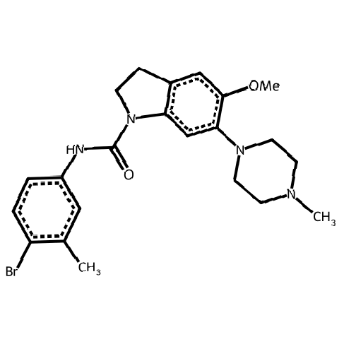 COc1cc2c(cc1N1CCN(C)CC1)N(C(=O)Nc1ccc(Br)c(C)c1)CC2